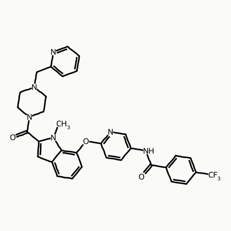 Cn1c(C(=O)N2CCN(Cc3ccccn3)CC2)cc2cccc(Oc3ccc(NC(=O)c4ccc(C(F)(F)F)cc4)cn3)c21